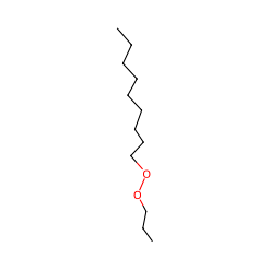 CCCCCCCCCOOCCC